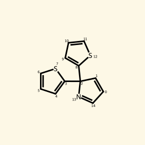 C1=CC(c2cccs2)(c2cccs2)N=C1